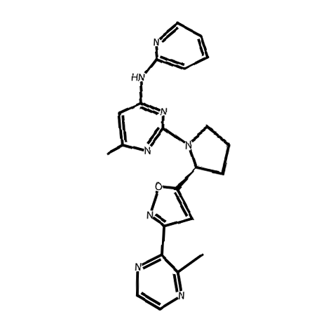 Cc1cc(Nc2ccccn2)nc(N2CCC[C@H]2c2cc(-c3nccnc3C)no2)n1